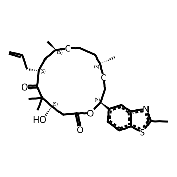 C=CC[C@@H]1C[C@@H](C)CCC[C@H](C)CC[C@@H](c2ccc3sc(C)nc3c2)OC(=O)C[C@H](O)C(C)(C)C1=O